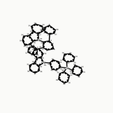 c1ccc(-c2cccc(-c3ccccc3)c2-n2c3ccccc3c3cccc(-c4ccc5c(c4)c4ccccc4n5-c4ccc([Si](c5ccccc5)(c5ccccc5)c5ccccc5)cc4)c32)cc1